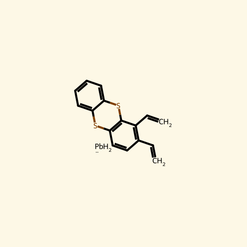 C=Cc1ccc2c(c1C=C)Sc1ccccc1S2.[PbH2]